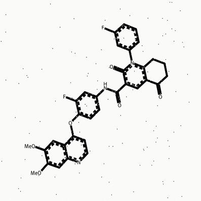 COc1cc2nccc(Oc3ccc(NC(=O)c4cc5c(n(-c6cccc(F)c6)c4=O)CCCC5=O)cc3F)c2cc1OC